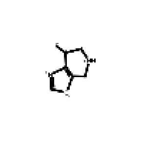 CC1CNCc2ocnc21